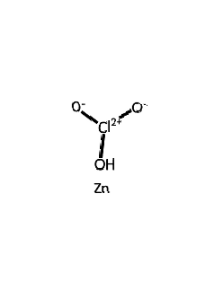 [O-][Cl+2]([O-])O.[Zn]